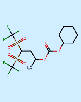 CC(CC(S(=O)(=O)C(F)(F)F)S(=O)(=O)C(F)(F)F)OC(=O)OC1CCCCC1